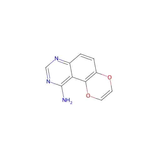 Nc1ncnc2ccc3c(c12)OC=CO3